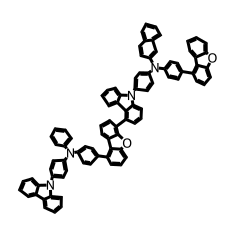 c1ccc(N(c2ccc(-c3cccc4oc5c(-c6cccc7c6c6ccccc6n7-c6ccc(N(c7ccc(-c8cccc9oc%10ccccc%10c89)cc7)c7ccc8ccccc8c7)cc6)cccc5c34)cc2)c2ccc(-n3c4ccccc4c4ccccc43)cc2)cc1